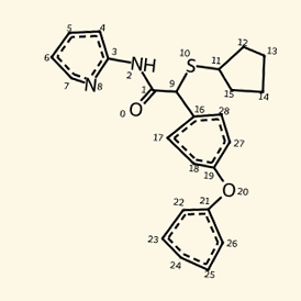 O=C(Nc1ccccn1)C(SC1CCCC1)c1ccc(Oc2ccccc2)cc1